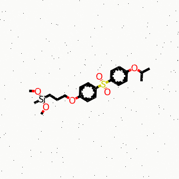 CO[Si](C)(CCCOc1ccc(S(=O)(=O)c2ccc(OC(C)C)cc2)cc1)OC